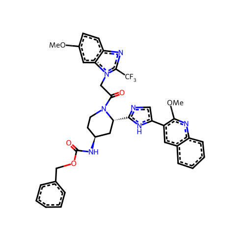 COc1ccc2nc(C(F)(F)F)n(CC(=O)N3CC[C@H](NC(=O)OCc4ccccc4)C[C@H]3c3ncc(-c4cc5ccccc5nc4OC)[nH]3)c2c1